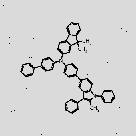 Cc1c(-c2ccccc2)c2cc(-c3ccc(N(c4ccc(-c5ccccc5)cc4)c4ccc5c(c4)C(C)(C)c4ccccc4-5)cc3)ccc2n1-c1ccccc1